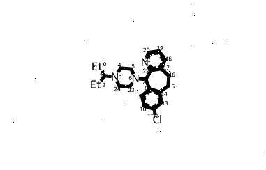 CCC(CC)N1CCN(C2c3ccc(Cl)cc3CCc3cccnc32)CC1